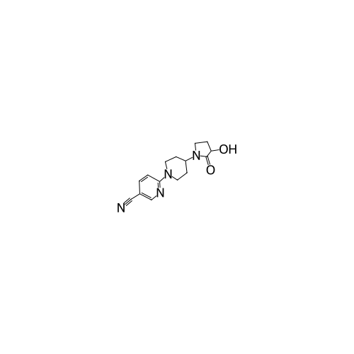 N#Cc1ccc(N2CCC(N3CCC(O)C3=O)CC2)nc1